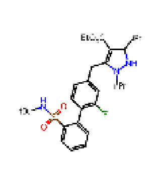 CCCN1NC(C(C)C)C(C(=O)OCC)=C1Cc1ccc(-c2ccccc2S(=O)(=O)NC(C)(C)C)c(F)c1